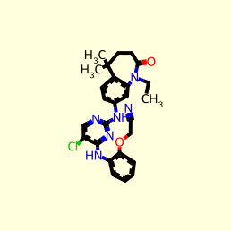 CCN1C(=O)CCC(C)(C)c2ccc(Nc3ncc(Cl)c(Nc4ccccc4OCC#N)n3)cc21